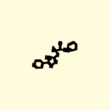 O=C(Nc1ccccc1)C1(Sc2nnc(-c3ccncc3)[nH]2)CC1